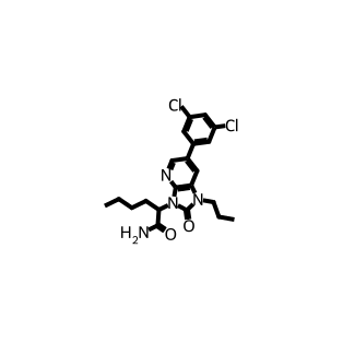 CCCCC(C(N)=O)n1c(=O)n(CCC)c2cc(-c3cc(Cl)cc(Cl)c3)cnc21